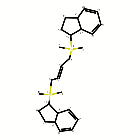 CS(C)(C/C=C/CS(C)(C)C1CCC2C=CC=CC21)C1CCC2C=CC=CC21